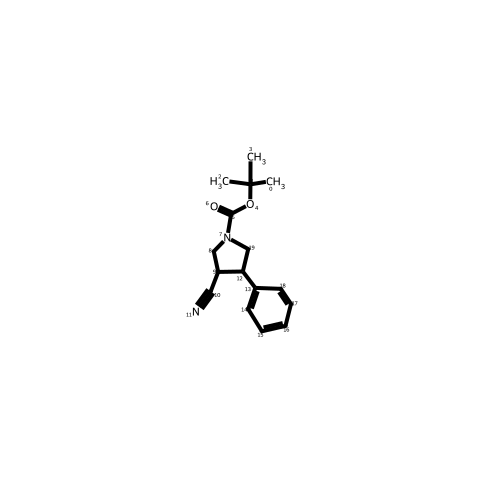 CC(C)(C)OC(=O)N1CC(C#N)C(c2ccccc2)C1